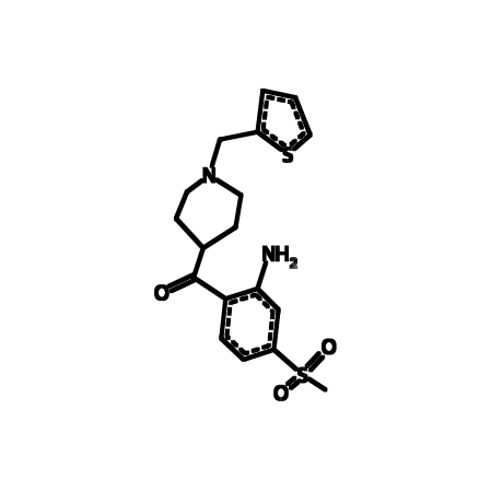 CS(=O)(=O)c1ccc(C(=O)C2CCN(Cc3cccs3)CC2)c(N)c1